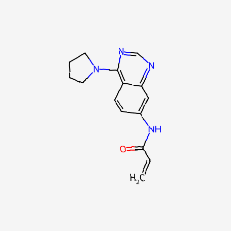 C=CC(=O)Nc1ccc2c(N3CCCC3)ncnc2c1